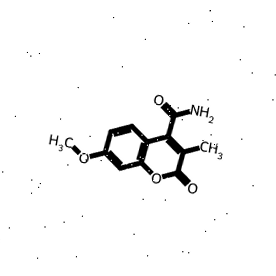 COc1ccc2c(C(N)=O)c(C)c(=O)oc2c1